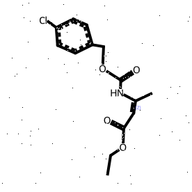 CCOC(=O)/C=C(/C)NC(=O)OCc1ccc(Cl)cc1